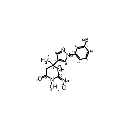 CN1C(=O)C[C@@](C)(c2cnn(-c3cccc(Br)c3)c2)N/C1=N/Cl